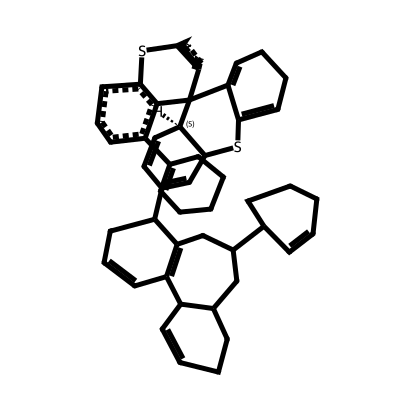 C1=CC(C2CC3=C(C=CCC3C3=CC4SC5=CCCC=C5C5(c6ccccc6Sc6cccc(C7=CCCCC7)c65)[C@@H]4C=C3)C3C=CCCC3C2)CCC1